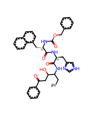 CC(C)CC(NC(=O)[C@H](Cc1c[nH]cn1)NC(=O)[C@H](Cc1cccc2ccccc12)NC(=O)OCc1ccccc1)C(O)CC(=O)c1ccccc1